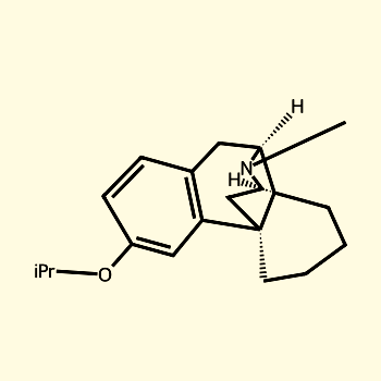 CC(C)Oc1ccc2c(c1)[C@]13CCCC[C@@H]1[C@H](C2)N(C)CC3